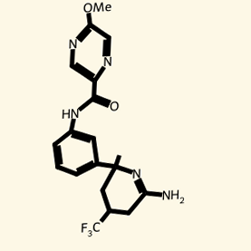 COc1cnc(C(=O)Nc2cccc(C3(C)CC(C(F)(F)F)CC(N)=N3)c2)cn1